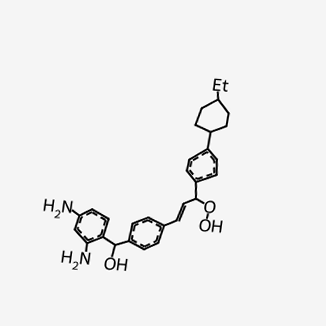 CCC1CCC(c2ccc(C(/C=C/c3ccc(C(O)c4ccc(N)cc4N)cc3)OO)cc2)CC1